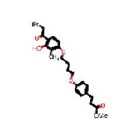 COC(=O)CCc1ccc(OCCCCOc2ccc(C(=O)CC(C)C)c(O)c2C)cc1